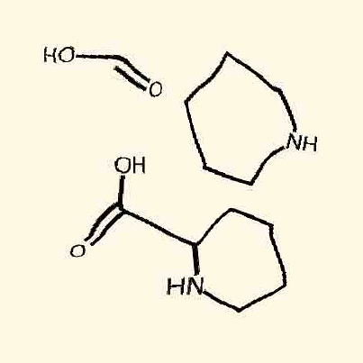 C1CCNCC1.O=C(O)C1CCCCN1.O=CO